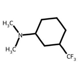 CN(C)C1CCCC(C(F)(F)F)C1